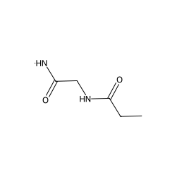 CCC(=O)NCC([NH])=O